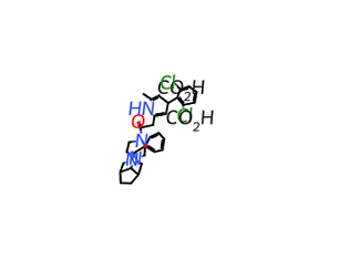 CC1=C(C(=O)O)C(c2c(Cl)cccc2Cl)C(C(=O)O)=C(CC(=O)N2CCN(C3C4CCC3CN(Cc3ccccc3)C4)CC2)N1